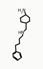 NC1CCC(CNCCCCc2ccccc2)CC1